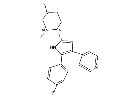 C[C@@H]1CN(C)CC[C@@H]1c1cc(-c2ccncc2)c(-c2ccc(F)cc2)[nH]1